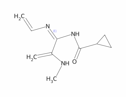 C=C/N=C(/NC(=O)C1CC1)C(=C)NC